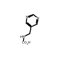 O=C(O)NCc1cncnc1